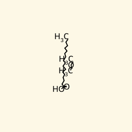 CCCCCCCCCCCCCCCCCC(=O)O.CCOCC